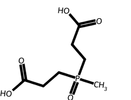 CP(=O)(CCC(=O)O)CCC(=O)O